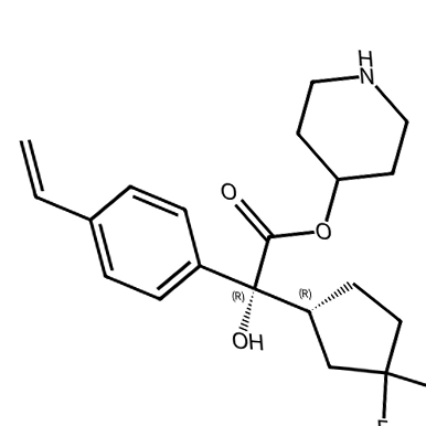 C=Cc1ccc([C@@](O)(C(=O)OC2CCNCC2)[C@@H]2CCC(F)(F)C2)cc1